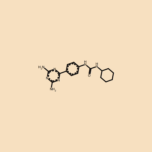 Nc1nc(N)nc(-c2ccc(NC(=O)NC3CCCCC3)cc2)n1